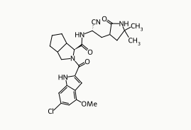 COc1cc(Cl)cc2[nH]c(C(=O)N3CC4CCCC4[C@H]3C(=O)N[C@H](C#N)CC3CC(C)(C)NC3=O)cc12